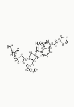 CCOC(=O)OCN1N=C(Nc2nccc3c(COC4CCOC4)nn(C)c23)CC1C1CCC(OC(=O)NC(C)C)C1